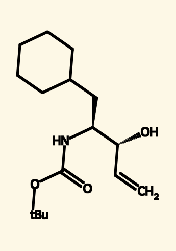 C=C[C@@H](O)[C@H](CC1CCCCC1)NC(=O)OC(C)(C)C